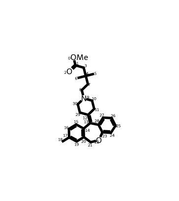 COC(=O)CC(C)(C)CCN1CCC(=C2c3ccc(C)cc3COc3ccccc32)CC1